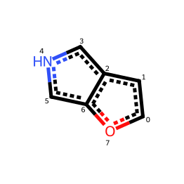 c1cc2c[nH]cc2o1